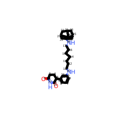 O=C1CCC(c2cccc(NCCCCCCCNC34CC5CC(CC(C5)C3)C4)c2)C(=O)N1